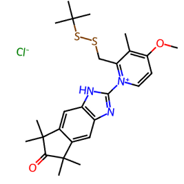 COc1cc[n+](-c2nc3cc4c(cc3[nH]2)C(C)(C)C(=O)C4(C)C)c(CSSC(C)(C)C)c1C.[Cl-]